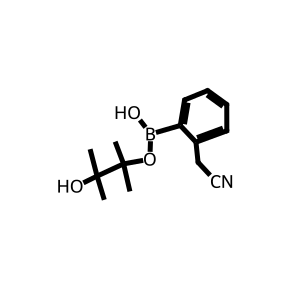 CC(C)(O)C(C)(C)OB(O)c1ccccc1CC#N